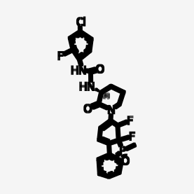 CP(C)(=O)C1(F)C(c2ccccc2)=CC=C(N2CCC[C@@H](NC(=O)Nc3ccc(Cl)cc3F)C2=O)C1F